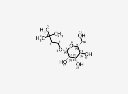 CC(C)(C)CCO[C@@H]1O[C@H](CO)[C@@H](O)[C@H](O)[C@@H]1O